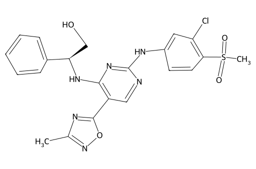 Cc1noc(-c2cnc(Nc3ccc(S(C)(=O)=O)c(Cl)c3)nc2N[C@H](CO)c2ccccc2)n1